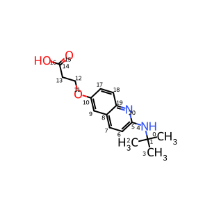 CC(C)(C)Nc1ccc2cc(OCCC(=O)O)ccc2n1